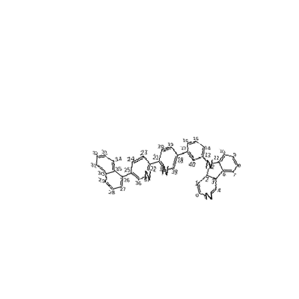 C1=CC2C(C=N1)c1ccccc1N2c1cccc(-c2ccc(-c3ccc(-c4cccc5ccccc45)cn3)nc2)c1